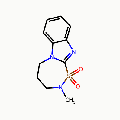 CN1CCCn2c(nc3ccccc32)S1(=O)=O